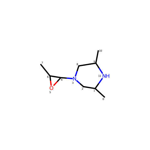 CC1CN(C2OC2C)CC(C)N1